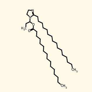 CCCCCCCCCCCCCCCCC1=NCCN1C(CC)OC(=O)CCCCCCCCCCCCCCC